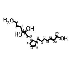 CCCCC(O)C(O)CC[C@H]1CCC[C@@H]1CCCCC=CC(=O)O